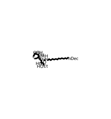 CCCCCCCCCCCCCCCCCCCCCCCCNC(=O)NC(COC1CCCCC(O)C(O)C1O)C(O)CC(O)CC